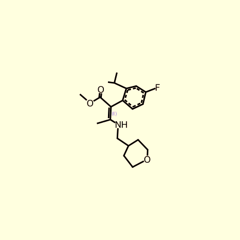 COC(=O)/C(=C(\C)NCC1CCOCC1)c1ccc(F)cc1C(C)C